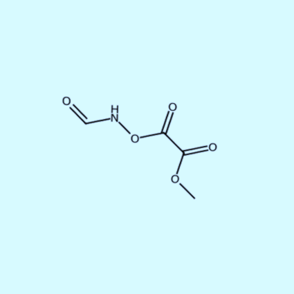 COC(=O)C(=O)ONC=O